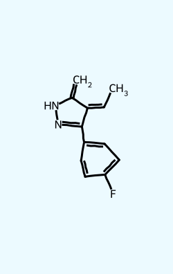 C=c1[nH]nc(-c2ccc(F)cc2)/c1=C/C